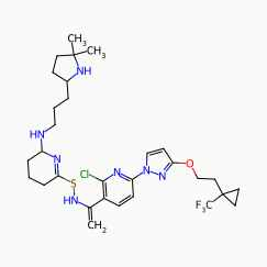 C=C(NSC1=NC(NCCCC2CCC(C)(C)N2)CCC1)c1ccc(-n2ccc(OCCC3(C(F)(F)F)CC3)n2)nc1Cl